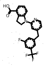 O=C(O)c1cccc2c1CCN2c1cc(Cc2cc(F)cc(C(F)(F)F)c2)ccn1